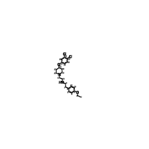 CCOc1ccc(CCNCCN2CCC(Oc3ccc(Cl)c(Cl)c3)CC2)cc1